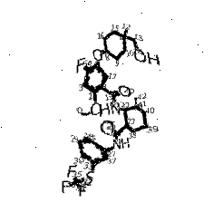 COc1cc(F)c(OC2CCC(C)(CO)CC2)cc1C(=O)NC1C(C(=O)Nc2cccc(SC(F)(F)F)c2)CCC[C@@H]1C